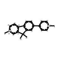 C[n+]1ccc(-c2ccc3c(c2)C(C)(C)c2c[n+](C)ccc2-3)cc1